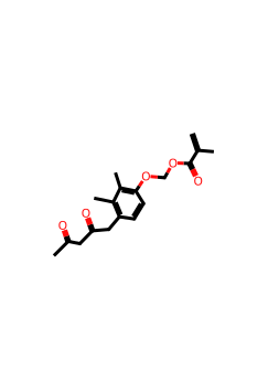 C=C(C)C(=O)OCOc1ccc(CC(=O)CC(C)=O)c(C)c1C